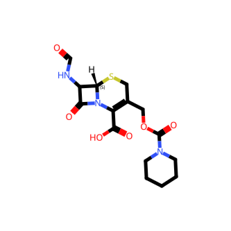 O=CNC1C(=O)N2C(C(=O)O)=C(COC(=O)N3CCCCC3)CS[C@@H]12